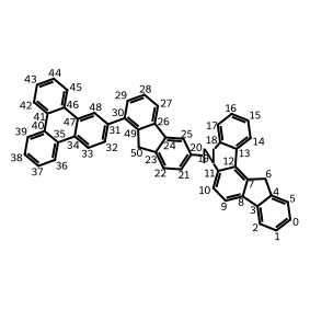 c1ccc2c(c1)Cc1c-2ccc2c1c1ccccc1n2-c1ccc2c(c1)-c1cccc(-c3ccc4c5ccccc5c5ccccc5c4c3)c1C2